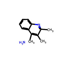 Cc1nc2ccccc2c(C)c1C.N